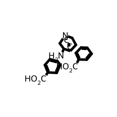 NC1CN2CCC1CC2.O=C(O)c1ccccc1.O=C(O)c1ccccc1